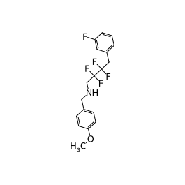 COc1ccc(CNCC(F)(F)C(F)(F)Cc2cccc(F)c2)cc1